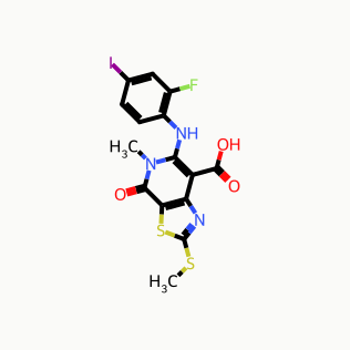 CSc1nc2c(C(=O)O)c(Nc3ccc(I)cc3F)n(C)c(=O)c2s1